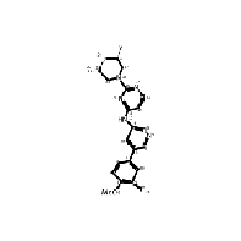 COc1ccc(-c2cnnc(Nc3ccnc(N4C[C@@H](C)O[C@@H](C)C4)n3)c2)cc1F